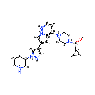 O=C(C1CC1)N1CCN(c2ccnn3cc(-c4cnn(C5CCCNC5)c4)cc23)CC1